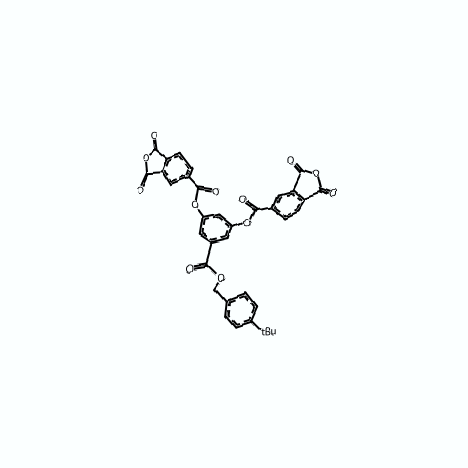 CC(C)(C)c1ccc(COC(=O)c2cc(OC(=O)c3ccc4c(c3)C(=O)OC4=O)cc(OC(=O)c3ccc4c(c3)C(=O)OC4=O)c2)cc1